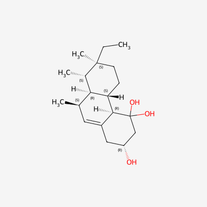 CC[C@@]1(C)CC[C@H]2[C@@H]([C@H](C)C=C3C[C@@H](O)CC(O)(O)[C@@H]32)[C@@H]1C